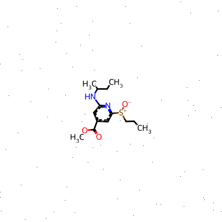 CCC[S+]([O-])c1cc(C(=O)OC)cc(NC(C)CC)n1